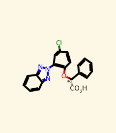 O=C(O)[C@H](Oc1ccc(Cl)cc1-n1nc2ccccc2n1)c1ccccc1